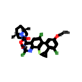 COCOc1cc(Cl)c(C2CC2)c(-c2c(Cl)cc3c(N4C[C@H]5CC[C@@H](C4)N5C(=O)OC(C)(C)C)nc(Cl)nc3c2F)c1